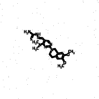 COc1cc2c(cc1OC)CN(c1ncc(/C=N/NC(N)=S)c(N(C)C)n1)CC2